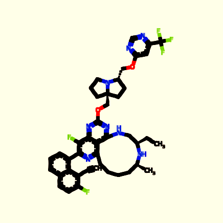 C#Cc1c(F)ccc2cccc(-c3nc4c5c(nc(OC[C@@]67CCCN6[C@H](COc6cc(C(F)(F)F)ncn6)CC7)nc5c3F)NC[C@@H](CC)N[C@@H](C)CCCC4)c12